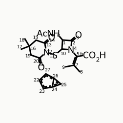 CC(=O)NC1C(=O)N(C(C(=O)O)=C(C)C)C1SN1C(=O)CC(C)(C)CC1=O.c1cc2cc-2c1